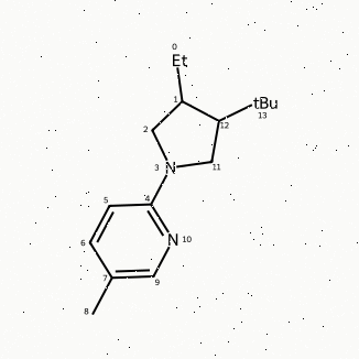 CCC1CN(c2ccc(C)cn2)CC1C(C)(C)C